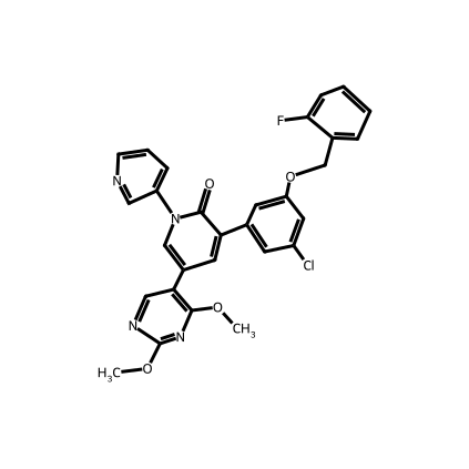 COc1ncc(-c2cc(-c3cc(Cl)cc(OCc4ccccc4F)c3)c(=O)n(-c3cccnc3)c2)c(OC)n1